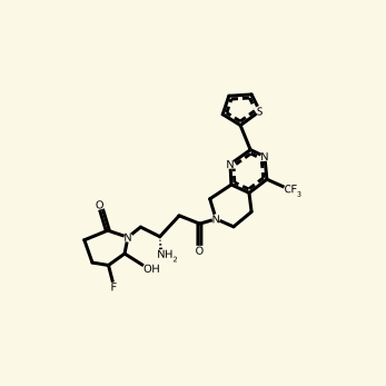 N[C@@H](CC(=O)N1CCc2c(nc(-c3cccs3)nc2C(F)(F)F)C1)CN1C(=O)CCC(F)C1O